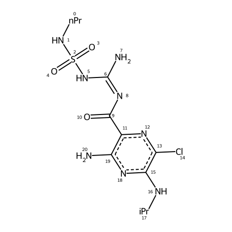 CCCNS(=O)(=O)N/C(N)=N\C(=O)c1nc(Cl)c(NC(C)C)nc1N